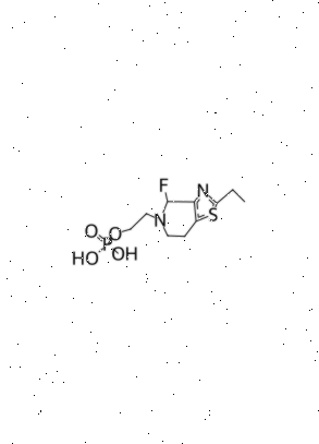 CCc1nc2c(s1)CCN(CCOP(=O)(O)O)C2F